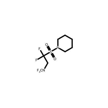 O=S(=O)(N1CCCCC1)C(F)(F)CNC(F)(F)F